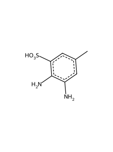 Cc1cc(N)c(N)c(S(=O)(=O)O)c1